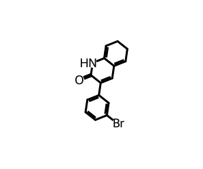 O=c1[nH]c2c(cc1-c1cccc(Br)c1)=CCCC=2